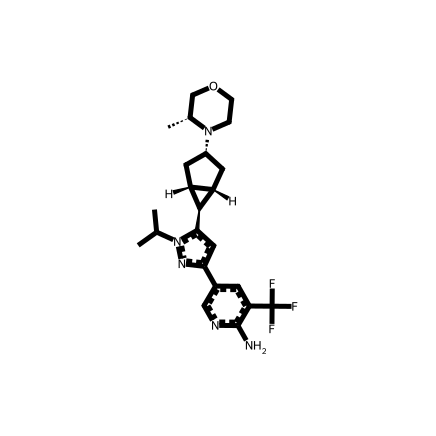 CC(C)n1nc(-c2cnc(N)c(C(F)(F)F)c2)cc1[C@H]1[C@@H]2C[C@H](N3CCOC[C@H]3C)C[C@@H]21